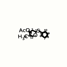 CC(=O)O[C@H]1CC(Sc2ccccc2)OC[C@@H]1C